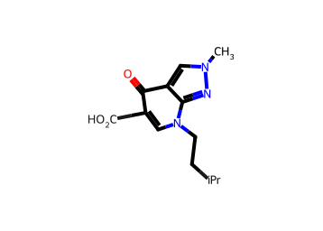 CC(C)CCn1cc(C(=O)O)c(=O)c2cn(C)nc21